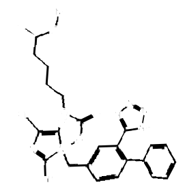 CCCCC1=NC(Cl)=C(C(=O)OCC)[N+]1(Cc1ccc(-c2ccccc2)c(-c2nnn[nH]2)c1)OC(=O)OCCCC[C@@H](C)O[N+](=O)[O-]